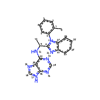 Cc1ccccc1-n1c(C(C)Nc2ncnc3[nH]cnc23)nc2ccccc21